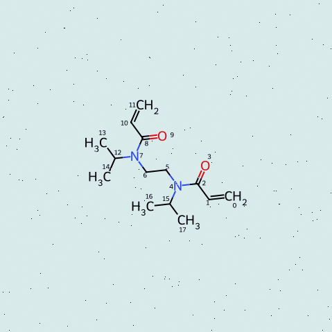 C=CC(=O)N(CCN(C(=O)C=C)C(C)C)C(C)C